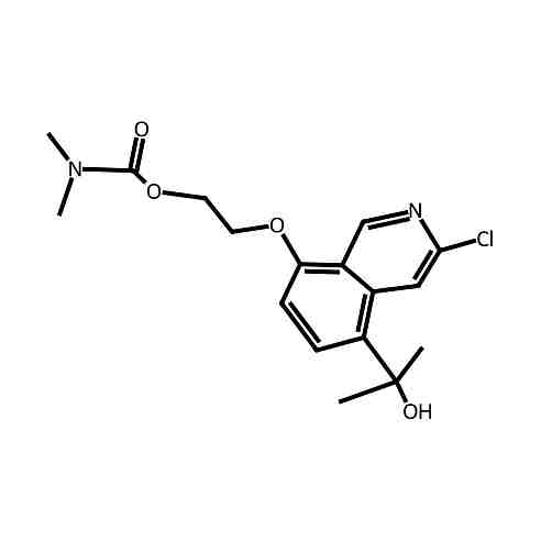 CN(C)C(=O)OCCOc1ccc(C(C)(C)O)c2cc(Cl)ncc12